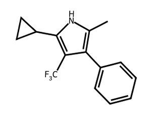 Cc1[nH]c(C2CC2)c(C(F)(F)F)c1-c1ccccc1